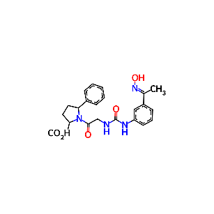 CC(=NO)c1cccc(NC(=O)NCC(=O)N2C(C(=O)O)CCC2c2ccccc2)c1